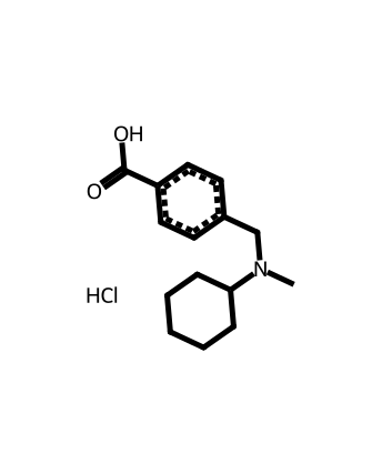 CN(Cc1ccc(C(=O)O)cc1)C1CCCCC1.Cl